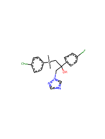 C[Si](C)(CC(O)(Cn1cncn1)c1ccc(F)cc1)c1ccc(Cl)cc1